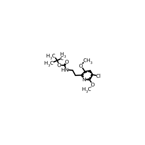 COc1cc(Cl)c(OC)nc1CCNC(=O)OC(C)(C)C